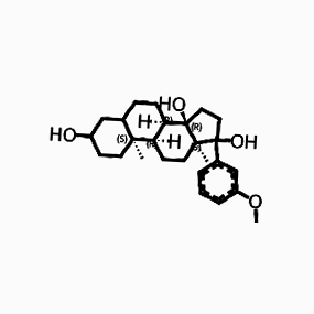 COc1cccc(C2(O)CC[C@@]3(O)[C@@H]4CCC5CC(O)CC[C@]5(C)[C@@H]4CC[C@]23C)c1